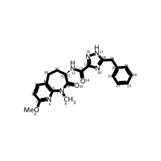 COc1ccc2c(n1)N(C)C(=O)[C@@H](NC(=O)c1n[nH]c(Cc3ccccc3)n1)CC2